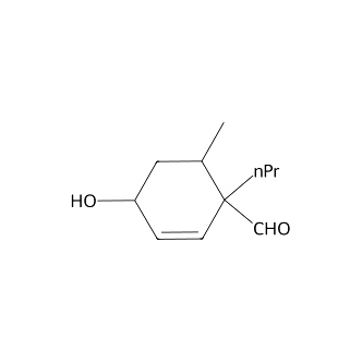 CCCC1(C=O)C=CC(O)CC1C